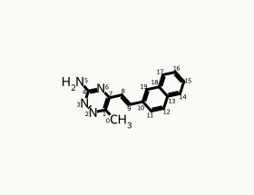 Cc1nnc(N)nc1C=Cc1ccc2ccccc2c1